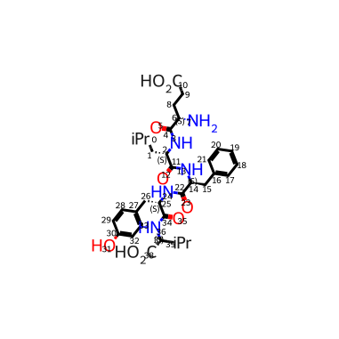 CC(C)C[C@H](NC(=O)[C@@H](N)CCC(=O)O)C(=O)N[C@@H](Cc1ccccc1)C(=O)N[C@@H](Cc1ccc(O)cc1)C(=O)N[C@H](C(=O)O)C(C)C